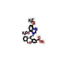 COc1ccc(OC)c2c1ncn2C/C=C1/c2ccccc2COc2ccc(C(=O)O)cc21